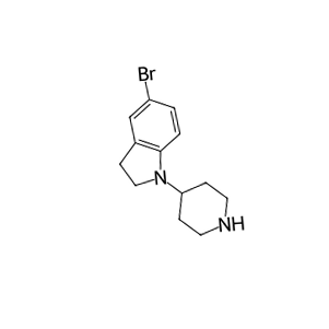 Brc1ccc2c(c1)CCN2C1CCNCC1